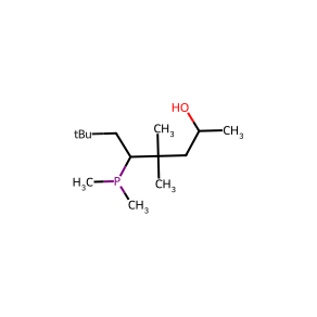 CC(O)CC(C)(C)C(CC(C)(C)C)P(C)C